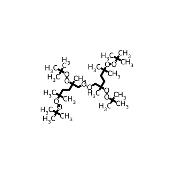 CC(C)(C)OOC(C)(C)CCC(C)(COOCC(C)(CCC(C)(C)OOC(C)(C)C)OOC(C)(C)C)OOC(C)(C)C